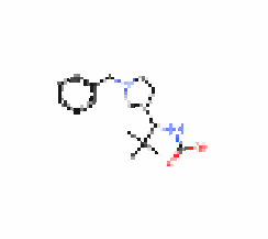 CC(C)(C)C(NC(=O)O)[C@@H]1CCN(Cc2ccccc2)C1